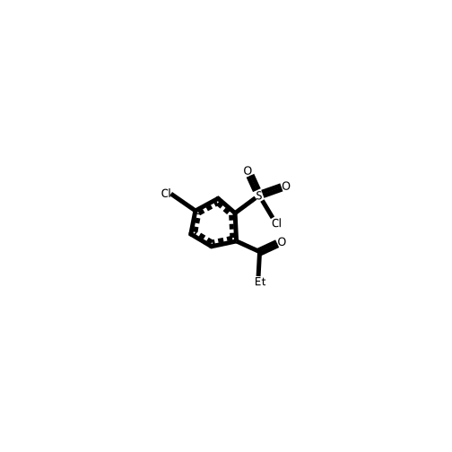 CCC(=O)c1ccc(Cl)cc1S(=O)(=O)Cl